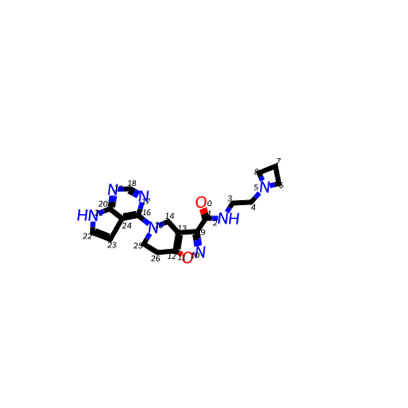 O=C(NCCN1CCC1)c1noc2c1CN(c1ncnc3[nH]ccc13)CC2